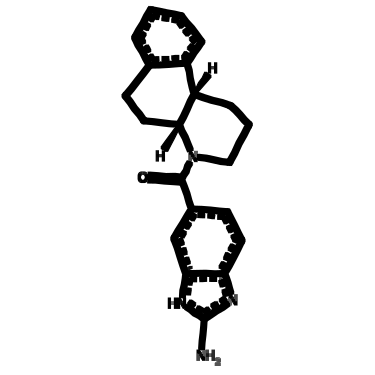 Nc1nc2ccc(C(=O)N3CCC[C@H]4c5ccccc5CC[C@H]43)cc2[nH]1